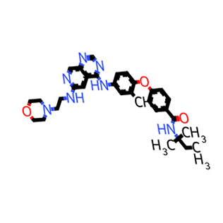 CCC(C)(C)NC(=O)c1ccc(Oc2ccc(Nc3ncnc4cnc(NCCN5CCOCC5)cc34)cc2C)cc1